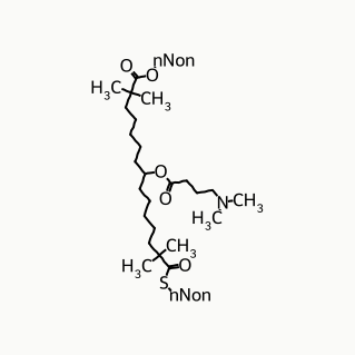 CCCCCCCCCOC(=O)C(C)(C)CCCCCC(CCCCCC(C)(C)C(=O)SCCCCCCCCC)OC(=O)CCCN(C)C